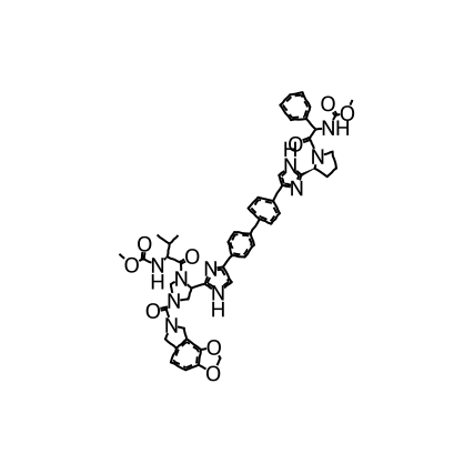 COC(=O)NC(C(=O)N1CCC[C@H]1c1nc(-c2ccc(-c3ccc(-c4c[nH]c(C5CN(C(=O)N6Cc7ccc8c(c7C6)OCO8)CN5C(=O)[C@@H](NC(=O)OC)C(C)C)n4)cc3)cc2)c[nH]1)c1ccccc1